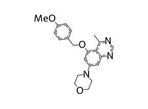 COc1ccc(COc2cc(N3CCOCC3)cc3ncnc(C)c23)cc1